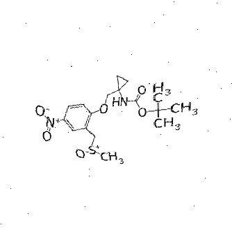 C[S+]([O-])Cc1cc([N+](=O)[O-])ccc1OCC1(NC(=O)OC(C)(C)C)CC1